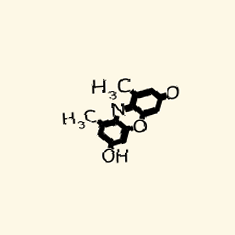 Cc1cc(=O)cc2oc3cc(O)cc(C)c3nc1-2